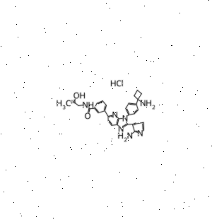 C[C@H](O)CNC(=O)c1cccc(-c2ccc3nc(-c4cccnc4N)n(-c4ccc(C5(N)CCC5)cc4)c3n2)c1.Cl